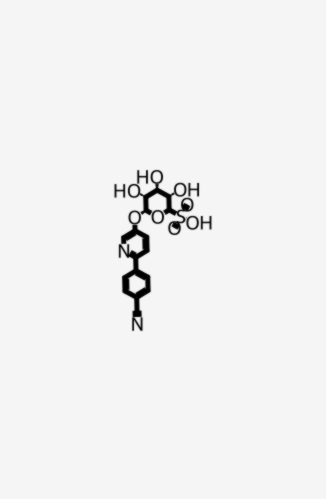 N#Cc1ccc(-c2ccc(O[C@@H]3OC(S(=O)(=O)O)[C@@H](O)[C@H](O)[C@H]3O)cn2)cc1